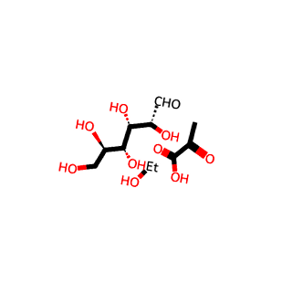 CC(=O)C(=O)O.CCO.O=C[C@H](O)[C@@H](O)[C@H](O)[C@H](O)CO